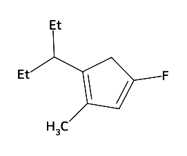 CCC(CC)C1=C(C)C=C(F)C1